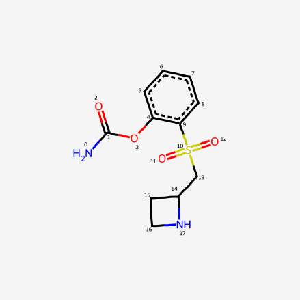 NC(=O)Oc1ccccc1S(=O)(=O)[CH]C1CCN1